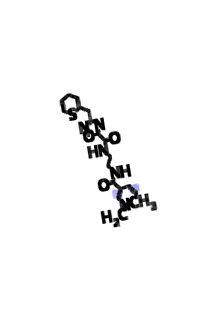 C=N/C=C(\C=C/C)C(=O)NCCNC(=O)c1nc(CC2=CCC=CS2)no1